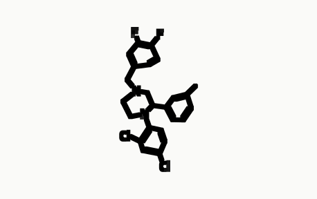 Cc1cccc(C2CN(Cc3ccc(F)c(F)c3)CCN2c2ccc(Cl)cc2Cl)c1